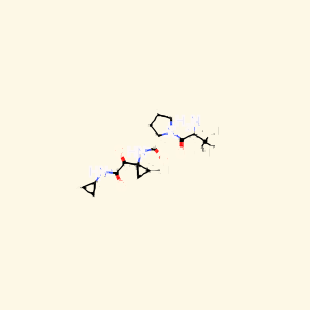 C[C@H]1CC1(NC(=O)[C@@H]1CCCN1C(=O)[C@@H](N)C(C)(C)C)C(=O)C(=O)NC1CC1